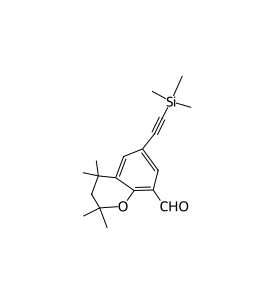 CC1(C)CC(C)(C)c2cc(C#C[Si](C)(C)C)cc(C=O)c2O1